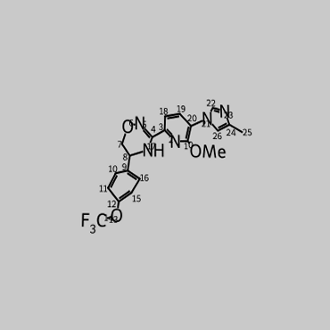 COc1nc(C2=NOCC(c3ccc(OC(F)(F)F)cc3)N2)ccc1-n1cnc(C)c1